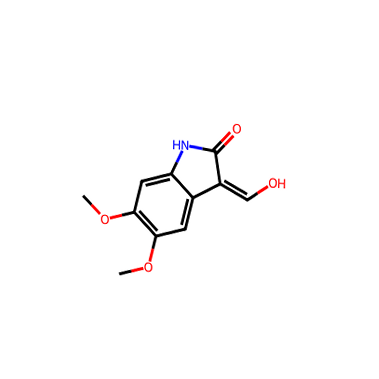 COc1cc2c(cc1OC)C(=CO)C(=O)N2